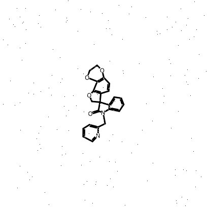 O=C1N(Cc2ccccn2)c2ccccc2C12COc1c2ccc2c1OCCO2